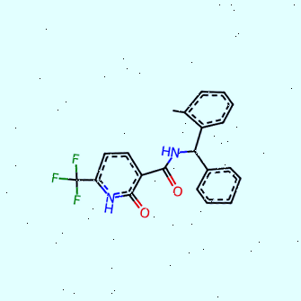 Cc1ccccc1C(NC(=O)c1ccc(C(F)(F)F)[nH]c1=O)c1ccccc1